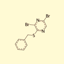 Brc1cnc(SCc2ccccc2)c(Br)n1